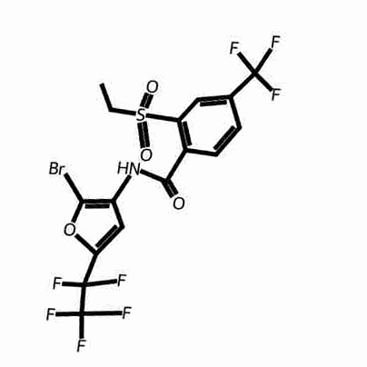 CCS(=O)(=O)c1cc(C(F)(F)F)ccc1C(=O)Nc1cc(C(F)(F)C(F)(F)F)oc1Br